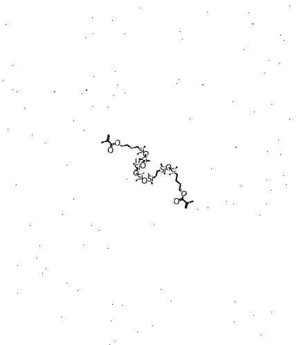 C=C(C)C(=O)OCCCC[Si](C)(C)O[Si](C)(C)CC[Si](C)(C)O[Si](C)(C)O[SiH](C)O[Si](C)(C)O[Si](C)(C)CCCCOC(=O)C(=C)C